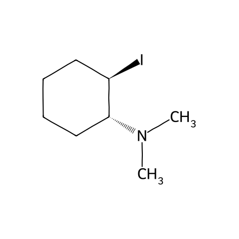 CN(C)[C@@H]1CCCC[C@H]1I